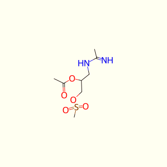 CC(=N)NCC(COS(C)(=O)=O)OC(C)=O